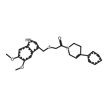 COc1cc2[nH]cc(CSCC(=O)N3CC=C(c4ccccc4)CC3)c2cc1OC